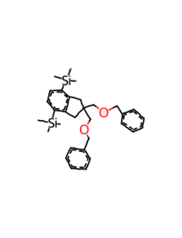 C[Si](C)(C)c1ccc([Si](C)(C)C)c2c1CC(COCc1ccccc1)(COCc1ccccc1)C2